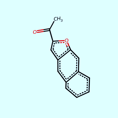 CC(=O)c1cc2cc3ccccc3cc2o1